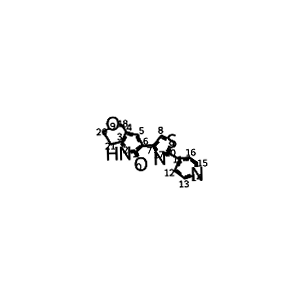 O=c1[nH]c2c(cc1-c1csc(-c3ccncc3)n1)COCC2